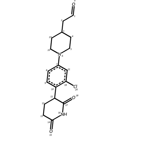 O=CCC1CCN(c2ccc(C3CCC(=O)NC3=O)c(Cl)c2)CC1